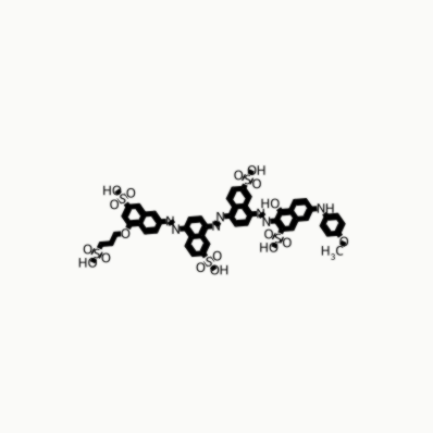 COc1ccc(Nc2ccc3c(O)c(N=Nc4ccc(N=Nc5ccc(N=Nc6ccc7c(OCCCS(=O)(=O)O)cc(S(=O)(=O)O)cc7c6)c6ccc(S(=O)(=O)O)cc56)c5ccc(S(=O)(=O)O)cc45)c(S(=O)(=O)O)cc3c2)cc1